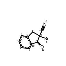 N#CC1(Br)Cc2ccccc2C1=O